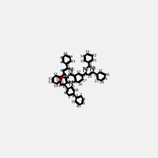 c1ccc(-c2ccc3c4ccccc4n(-c4ccc(-c5cc(-c6ccccc6)nc(-c6ccccc6)n5)cc4-c4nc(-c5ccccc5)cc(-c5ccccc5)n4)c3c2)cc1